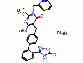 CCCCc1nc(C)n(Cc2ccccn2)c(=O)c1Cc1ccc(-c2ccccc2-c2noc(=O)[nH]2)cc1.[NaH]